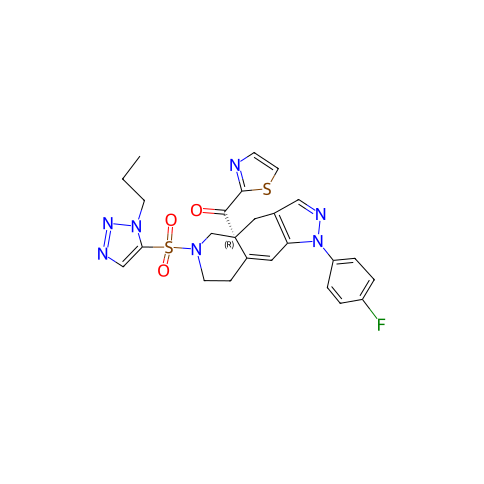 CCCn1nncc1S(=O)(=O)N1CCC2=Cc3c(cnn3-c3ccc(F)cc3)C[C@]2(C(=O)c2nccs2)C1